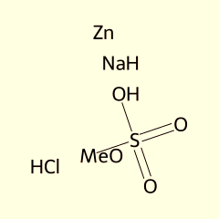 COS(=O)(=O)O.Cl.[NaH].[Zn]